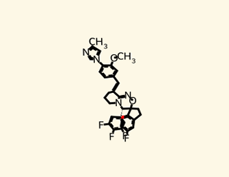 COc1cc(/C=C2\CCCN3C2=NOC2(CCc4cc(F)ccc42)[C@@H]3c2cc(F)c(F)c(F)c2)ccc1-n1cnc(C)c1